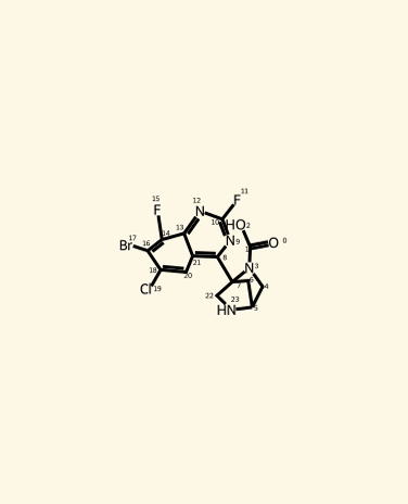 O=C(O)N1CC2CC1(c1nc(F)nc3c(F)c(Br)c(Cl)cc13)CN2